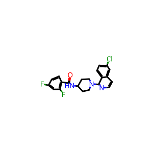 O=C(NC1CCN(c2nccc3cc(Cl)ccc23)CC1)c1ccc(F)cc1F